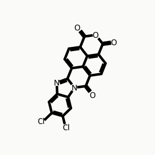 O=C1OC(=O)c2ccc3c4c2c1ccc4c(=O)n1c2cc(Cl)c(Cl)cc2nc31